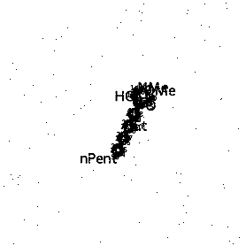 C=C(COC)C(=O)OCC(COC(O)C(=C)CNC)c1ccc(-c2ccc(-c3ccc(C4CCC(CCCCC)CC4)cc3)cc2CC)cc1